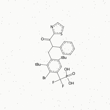 CC(C)(C)c1cc(C(F)(F)P(=O)(O)O)c(Br)c(C(C)(C)C)c1CC(C(=O)c1nccs1)c1ccccc1